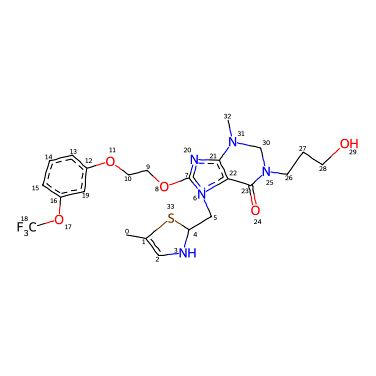 CC1=CNC(Cn2c(OCCOc3cccc(OC(F)(F)F)c3)nc3c2C(=O)N(CCCO)CN3C)S1